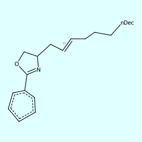 CCCCCCCCCCCCC/C=C/CC1COC(c2ccccc2)=N1